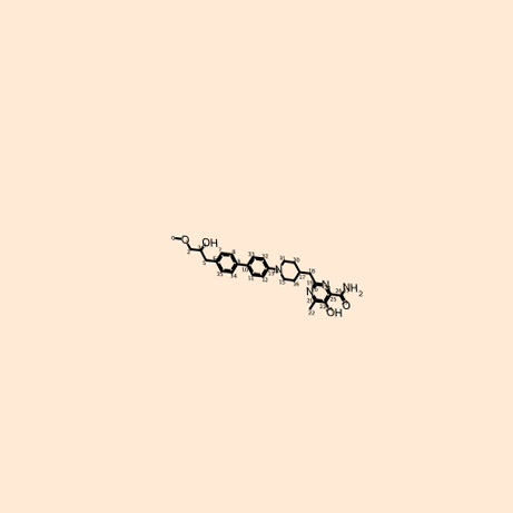 COCC(O)Cc1ccc(-c2ccc(N3CCC(Cc4nc(C)c(O)c(C(N)=O)n4)CC3)cc2)cc1